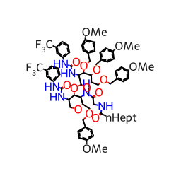 CCCCCCCC(=O)NCC(=O)N[C@H]1C(COCc2ccc(OC)cc2)OCC(NC(=O)Nc2cccc(C(F)(F)F)c2)[C@H]1O[C@@H]1OC(COCc2ccc(OC)cc2)[C@@H](OCc2ccc(OC)cc2)[C@H](OCc2ccc(OC)cc2)C1NC(=O)Nc1cccc(C(F)(F)F)c1